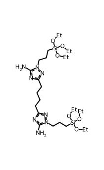 CCO[Si](CCCn1nc(CCCCc2nc(N)n(CCC[Si](OCC)(OCC)OCC)n2)nc1N)(OCC)OCC